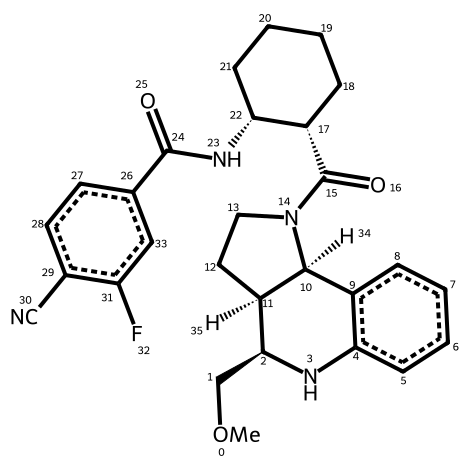 COC[C@@H]1Nc2ccccc2[C@H]2[C@@H]1CCN2C(=O)[C@H]1CCCC[C@H]1NC(=O)c1ccc(C#N)c(F)c1